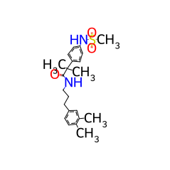 Cc1ccc(CCCNC(=O)C(C)(C)c2ccc(NS(C)(=O)=O)cc2)cc1C